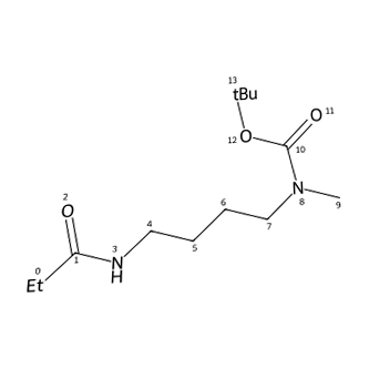 CCC(=O)NCCCCN(C)C(=O)OC(C)(C)C